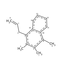 C=CCc1c(C)c(C)c(C)c2ccccc12